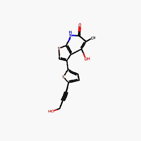 N#Cc1c(O)c2c(-c3ccc(C#CCO)s3)csc2[nH]c1=O